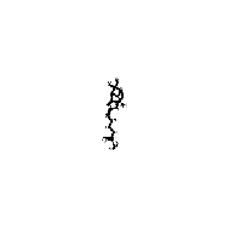 C=C1C2CC(C[C@@H]1C/C=C\CCCC(=O)OC)C2(C)C